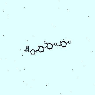 CCNC1CCN(c2ccc(-n3ccc(OCc4ccc(Cl)cn4)cc3=O)cn2)C1